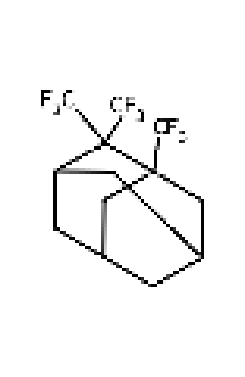 FC(F)(F)C12CC3CC(CC(C3)C1(C(F)(F)F)C(F)(F)F)C2